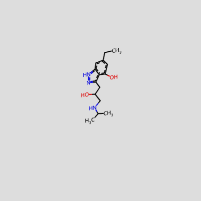 CCc1cc(O)c2c(CC(O)CNC(C)C)n[nH]c2c1